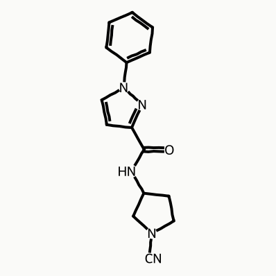 N#CN1CCC(NC(=O)c2ccn(-c3ccccc3)n2)C1